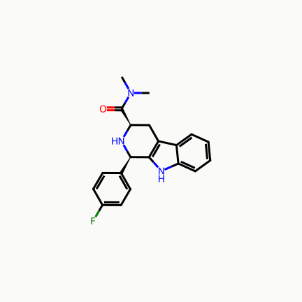 CN(C)C(=O)[C@H]1Cc2c([nH]c3ccccc23)[C@@H](c2ccc(F)cc2)N1